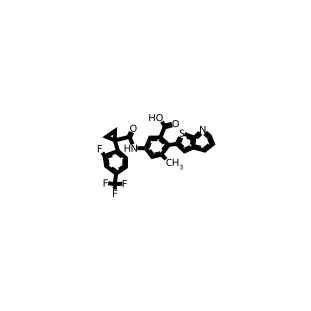 Cc1cc(NC(=O)C2(c3ccc(C(F)(F)F)cc3F)CC2)cc(C(=O)O)c1-c1cc2cccnc2s1